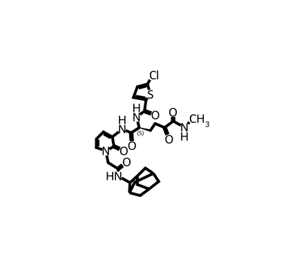 CNC(=O)C(=O)CC[C@H](NC(=O)c1ccc(Cl)s1)C(=O)Nc1cccn(CC(=O)NC2C3CC4CC(C3)CC2C4)c1=O